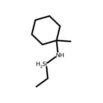 CC[SiH2]NC1(C)CCCCC1